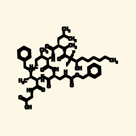 CCCCCCC(O)C(F)(F)C(=O)N(C)[C@@H](CC(C)C)C(=O)N[C@H](C(=O)N[C@@H](CNC(=O)OCc1ccccc1)C(=O)N[C@H](C(=O)NCC(=O)O)[C@H](C)OCc1ccccc1)[C@H](C)CC